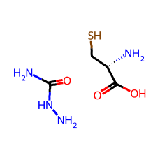 NNC(N)=O.N[C@@H](CS)C(=O)O